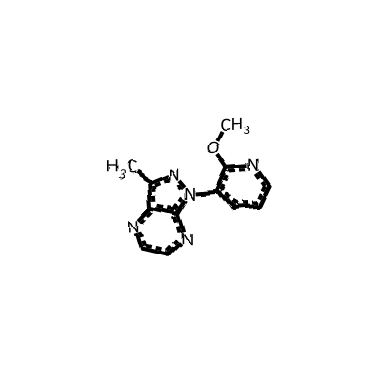 COc1ncccc1-n1nc(C)c2nccnc21